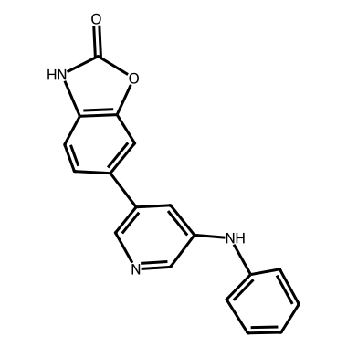 O=c1[nH]c2ccc(-c3cncc(Nc4ccccc4)c3)cc2o1